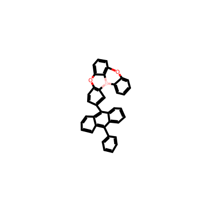 c1ccc(-c2c3ccccc3c(-c3ccc4c(c3)B3c5ccccc5Oc5cccc(c53)O4)c3ccccc23)cc1